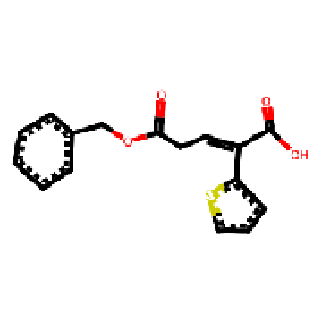 O=C(CC=C(C(=O)O)c1cccs1)OCc1ccccc1